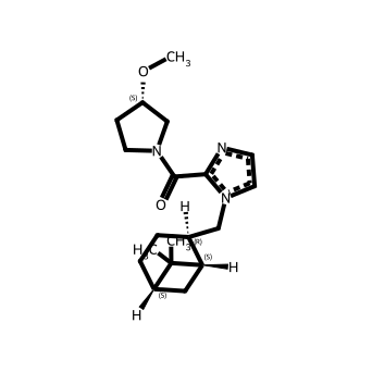 CO[C@H]1CCN(C(=O)c2nccn2C[C@@H]2CC[C@H]3C[C@@H]2C3(C)C)C1